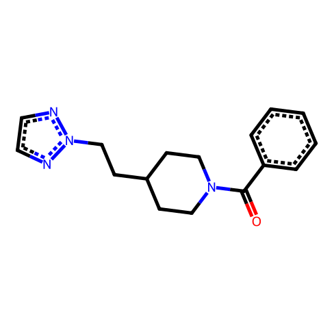 O=C(c1ccccc1)N1CCC(CCn2nccn2)CC1